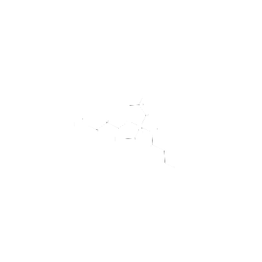 CCCCO[Si](CC)(CC(C)C)OCCCC